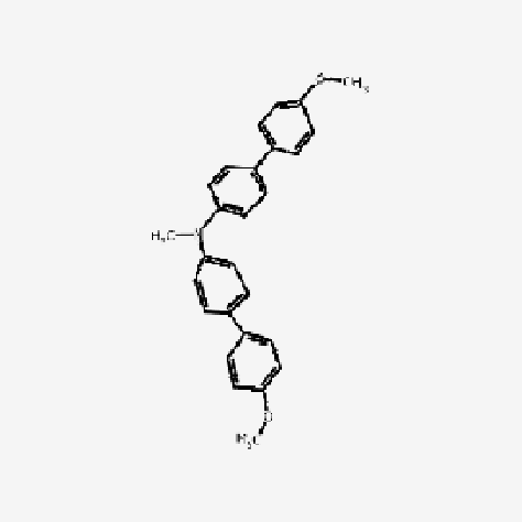 COc1ccc(-c2ccc(N(C)c3ccc(-c4ccc(OC)cc4)cc3)cc2)cc1